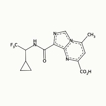 Cc1cc(C(=O)O)nc2c(C(=O)NC(C3CC3)C(F)(F)F)ncn12